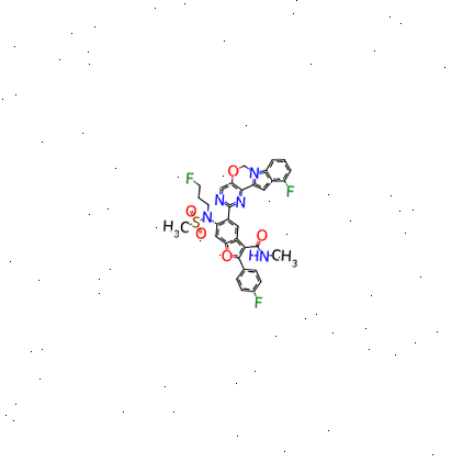 CNC(=O)c1c(-c2ccc(F)cc2)oc2cc(N(CCCF)S(C)(=O)=O)c(-c3ncc4c(n3)-c3cc5c(F)cccc5n3CO4)cc12